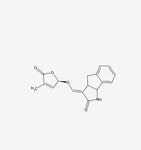 CC1=C[C@H](O/C=C2/C(=O)NC3c4ccccc4CC23)OC1=O